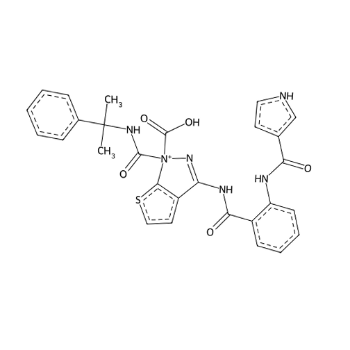 CC(C)(NC(=O)[N+]1(C(=O)O)N=C(NC(=O)c2ccccc2NC(=O)c2cc[nH]c2)c2ccsc21)c1ccccc1